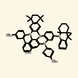 CC(C)(C)c1ccc(N2c3cc(N4c5ccccc5C(C)(C)C5(C)CCCCC45C)ccc3B3c4cc5c(cc4N(c4ccc(C(C)(C)C)cc4-c4ccccc4)c4cc(C(C)(C)C)cc2c43)C(C)(C)CCC5(C)C)cc1